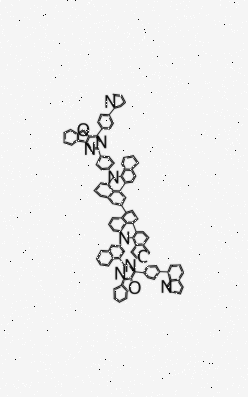 c1ccc(-c2ccc(-c3nc(-c4ccc(N5c6c(ccc7ccccc67)-c6cc(-c7ccc8c9c(cccc79)N(c7cc(-c9nc(-c%10ccc(-c%11cccc%12cccnc%11%12)cc%10)c%10oc%11ccccc%11c%10n9)c9ccccc9c7)c7c-8ccc8ccccc78)cc7cccc5c67)cc4)nc4c3oc3ccccc34)cc2)nc1